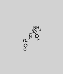 COc1ccc(C(=O)CCCN2CCC(c3sc(N)nc3-c3ccc(F)cc3)C2)cc1